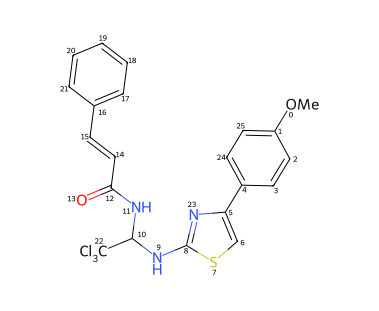 COc1ccc(-c2csc(NC(NC(=O)/C=C/c3ccccc3)C(Cl)(Cl)Cl)n2)cc1